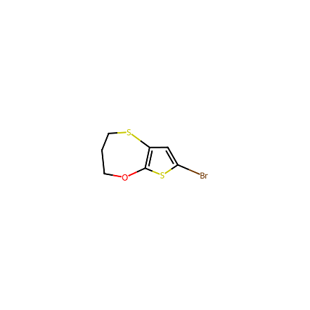 Brc1cc2c(s1)OCCCS2